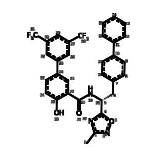 Cc1noc([C@@H](Cc2ccc(-c3ccccc3)cc2)NC(=O)c2cc(-c3cc(C(F)(F)F)cc(C(F)(F)F)c3)ccc2O)n1